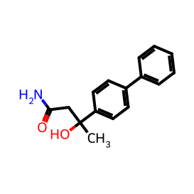 CC(O)(CC(N)=O)c1ccc(-c2ccccc2)cc1